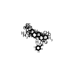 C[C@H]1[C@H](C)CC[C@]2(C(=O)OCc3ccccc3)CC[C@]3(C)C(=CC[C@@H]4[C@@]5(C)CC=C(OS(=O)(=O)C(F)(F)F)C(C)(C)[C@@H]5CC[C@]43C)[C@H]12